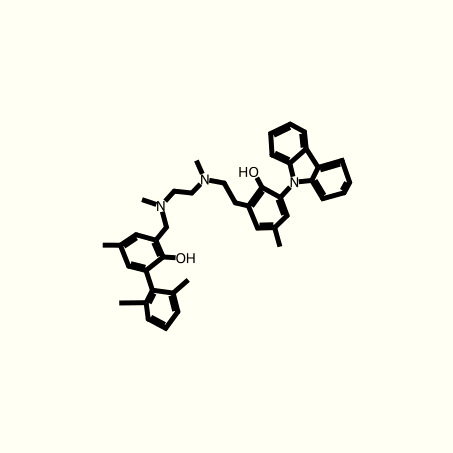 Cc1cc(CN(C)CCN(C)CCc2cc(C)cc(-n3c4ccccc4c4ccccc43)c2O)c(O)c(-c2c(C)cccc2C)c1